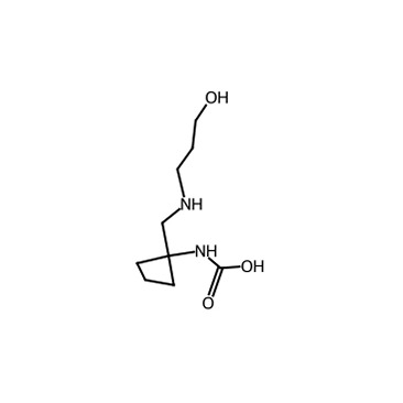 O=C(O)NC1(CNCCCO)CCC1